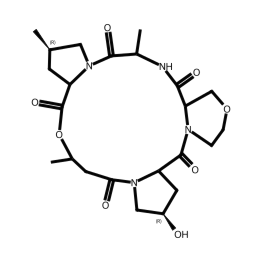 CC1CC(=O)N2C[C@H](O)CC2C(=O)N2CCOCC2C(=O)NC(C)C(=O)N2C[C@H](C)CC2C(=O)O1